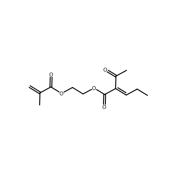 C=C(C)C(=O)OCCOC(=O)C(=CCC)C(C)=O